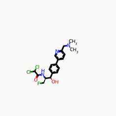 CN(C)Cc1ccc(-c2ccc([C@@H](O)[C@@H](CF)NC(=O)C(Cl)Cl)cc2)cn1